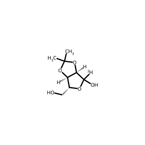 [2H]C1(O)O[C@H](CO)[C@H]2OC(C)(C)O[C@H]21